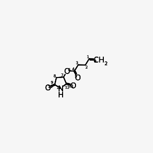 C=CCCC(=O)OC1CC(=O)NC1=O